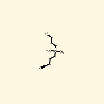 C#CCCC[PH](C)(C)CCCC